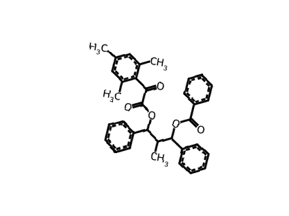 Cc1cc(C)c(C(=O)C(=O)OC(c2ccccc2)C(C)C(OC(=O)c2ccccc2)c2ccccc2)c(C)c1